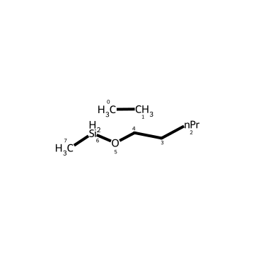 CC.CCCCCO[SiH2]C